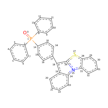 O=P(c1ccccc1)(c1ccccc1)c1ccc(-c2c3ccccc3n3c2sc2ccccc23)cc1